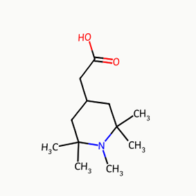 CN1C(C)(C)CC(CC(=O)O)CC1(C)C